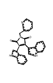 O=C1C(c2c[nH]c3ccccc23)=C(c2c[nH]c3ccccc23)C(=O)N1Cc1ccccn1